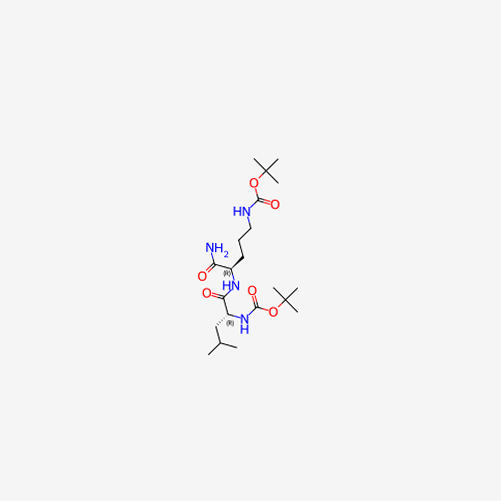 CC(C)C[C@@H](NC(=O)OC(C)(C)C)C(=O)N[C@H](CCCNC(=O)OC(C)(C)C)C(N)=O